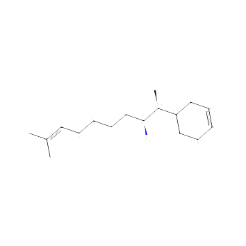 CC(C)=CCCCC[C@H](N)[C@@H](C)C1CC=CCC1